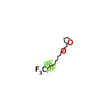 FC(F)(F)C(F)(F)C(F)(F)C(F)(F)CCCCCCOCCC1CCCCO1